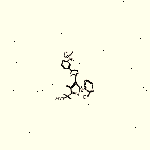 Cc1c(C(C)(C)O)nn(-c2ccccc2Cl)c1-c1ccc(-c2cccc(S(C)(=O)=O)c2)s1